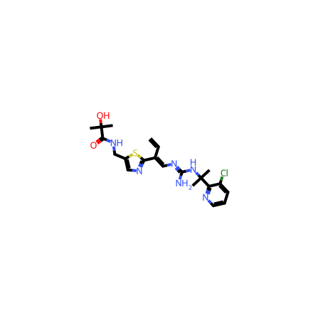 C=C/C(=C\N=C(/N)NC(C)(C)c1ncccc1Cl)c1ncc(CNC(=O)C(C)(C)O)s1